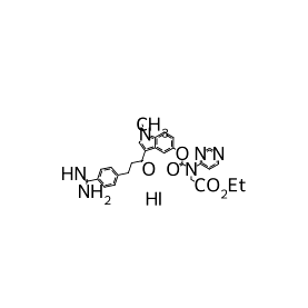 CCOC(=O)CN(C(=O)Oc1ccc2c(c1)c(C(=O)CCc1ccc(C(=N)N)cc1)cn2C)c1ccncn1.I